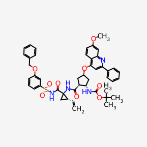 C=C[C@@H]1C[C@]1(NC(=O)[C@H]1C[C@@H](Oc2cc(-c3ccccc3)nc3cc(OC)ccc23)C[C@@H]1NC(=O)OC(C)(C)C)C(=O)NS(=O)(=O)c1cccc(OCc2ccccc2)c1